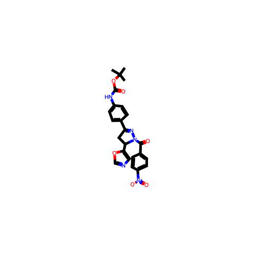 CC(C)(C)OC(=O)Nc1ccc(C2=NN(C(=O)c3ccc([N+](=O)[O-])cc3)C(c3cnco3)C2)cc1